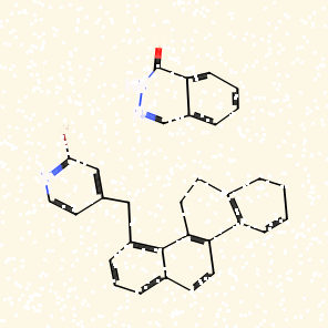 Brc1cc(Cc2cccc3ccc4c(c23)CCC2=C4C=CCC2)ccn1.O=c1[nH]ncc2ccccc12